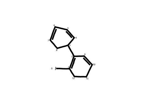 IC1=C(C2C=CC=CC2)C=CCC1